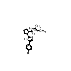 COC[C@@H](C)NC(=O)C1CCCC1c1ncc(-c2ccc(Br)cc2)[nH]1